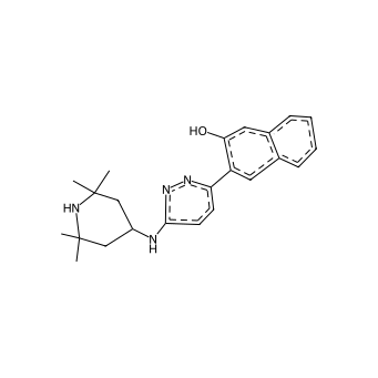 CC1(C)CC(Nc2ccc(-c3cc4ccccc4cc3O)nn2)CC(C)(C)N1